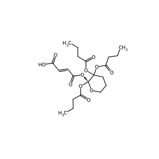 CCCC(=O)OC1(OC(=O)CCC)CCCO[C@]1(OC(=O)/C=C/C(=O)O)OC(=O)CCC